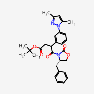 Cc1cc(C)n(-c2cccc(C(CC(=O)OC(C)(C)C)C(=O)N3C(=O)OC[C@@H]3Cc3ccccc3)c2)n1